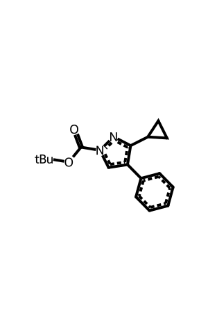 CC(C)(C)OC(=O)n1cc(-c2ccccc2)c(C2CC2)n1